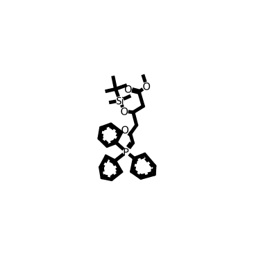 COC(=O)CC(CC(=O)C=P(c1ccccc1)(c1ccccc1)c1ccccc1)O[Si](C)(C)C(C)(C)C